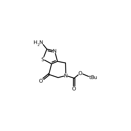 CC(C)(C)OC(=O)N1CC(=O)c2sc(N)nc2C1